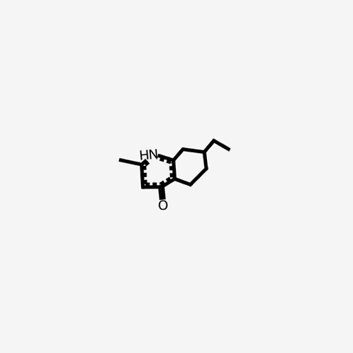 CCC1CCc2c([nH]c(C)cc2=O)C1